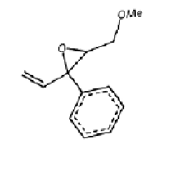 C=CC1(c2ccccc2)OC1COC